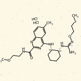 COCCNC(=O)c1nc(N[C@H]2CCCC[C@H]2N/C(N)=N\OCCSC)c2cc(C)ccc2n1.Cl.Cl